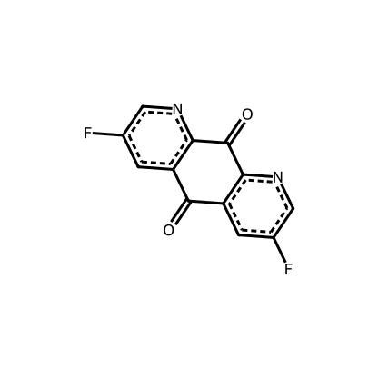 O=C1c2cc(F)cnc2C(=O)c2ncc(F)cc21